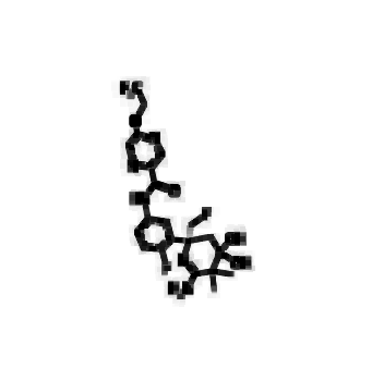 CC1(C)C(N)=N[C@@](CF)(c2cc(NC(=O)c3cnc(OCC(F)(F)F)cn3)ccc2F)CS1(O)O